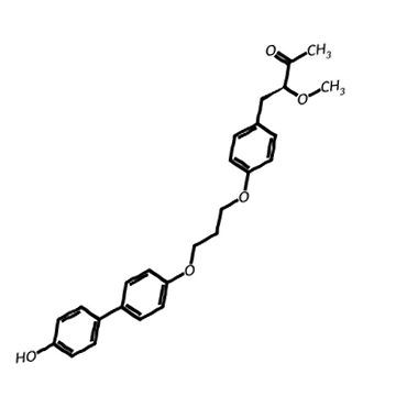 CO[C@@H](Cc1ccc(OCCCOc2ccc(-c3ccc(O)cc3)cc2)cc1)C(C)=O